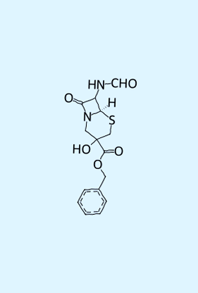 O=CNC1C(=O)N2CC(O)(C(=O)OCc3ccccc3)CS[C@H]12